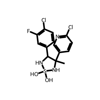 CC1(c2ccc(Cl)nc2)NS(O)(O)NC1c1ccc(Cl)c(F)c1